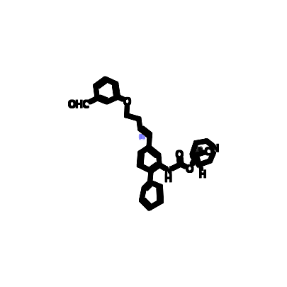 O=Cc1cccc(OCC/C=C/c2ccc(-c3ccccc3)c(NC(=O)O[C@H]3CN4CCC3CC4)c2)c1